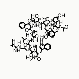 CNC(=N)NCCC[C@H](NC(=O)[C@H](CC(C)C)NC(=O)NNC(=O)[C@@H](NC(=O)[C@@H](NC(=O)[C@H](CC(N)=O)NC(=O)[C@@H]1C[C@@H](O)CN1C(=O)[C@@H](Cc1ccc(O)cc1)NC(C)=O)[C@@H](C)O)[C@H](O)c1ccccc1)C(=O)N[C@@H](Cc1c[nH]c2ccccc12)C(N)=O